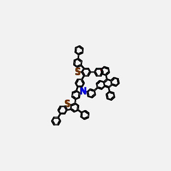 c1ccc(-c2ccc3sc4c(-c5ccc6c7ccc(-c8cc(-c9ccccc9)cc9c8sc8ccc(-c%10ccccc%10)cc89)cc7n(-c7cccc(-c8ccc9c(-c%10ccccc%10)c%10ccccc%10c(-c%10ccccc%10)c9c8)c7)c6c5)cc(-c5ccccc5)cc4c3c2)cc1